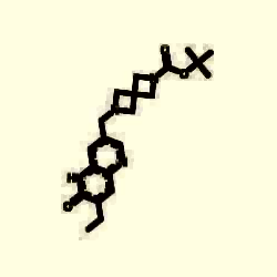 CCc1cc2ncc(CN3CC4(C3)CN(C(=O)OC(C)(C)C)C4)cc2[nH]c1=O